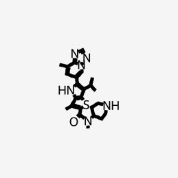 Cc1c(C(=O)N(C)C2CCNCC2)sc2c(C(C)C)c(-c3cc(C)c4ncnn4c3)[nH]c12